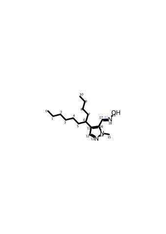 CCCCCCC(CCCC)c1cnn(C)c1/C=N/O